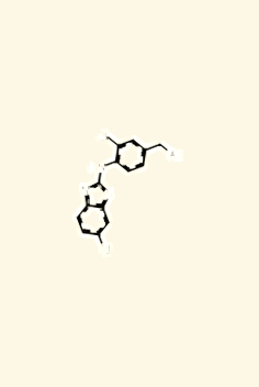 CC(=O)Cc1ccc(Nc2nc3ccc(Cl)cc3s2)c(Cl)c1